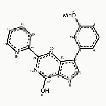 COc1cccc(-c2csc3c(O)nc(-c4ccccn4)nc23)c1